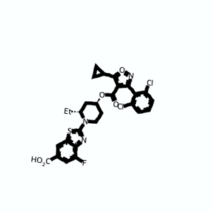 CC[C@@H]1C[C@H](OC(=O)c2c(-c3c(Cl)cccc3Cl)noc2C2CC2)CCN1c1nc2c(F)cc(C(=O)O)cc2s1